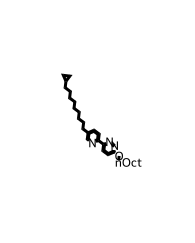 CCCCCCCCOc1ccc(-c2ccc(CCCCCCCCCC3CC3)cn2)nn1